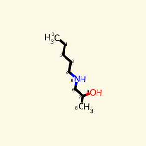 CCCCCNCC(C)O